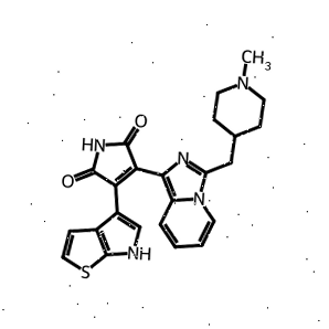 CN1CCC(Cc2nc(C3=C(c4c[nH]c5sccc45)C(=O)NC3=O)c3ccccn23)CC1